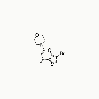 C=C1C=C(N2CCOCC2)Oc2c(Br)csc21